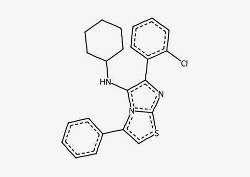 Clc1ccccc1-c1nc2scc(-c3ccccc3)n2c1NC1CCCCC1